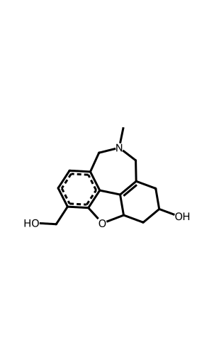 CN1CC2=C3c4c(ccc(CO)c4OC3CC(O)C2)C1